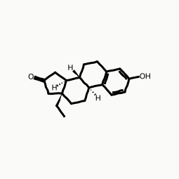 CC[C@]12CC[C@@H]3c4ccc(O)cc4CC[C@H]3[C@@H]1CC(=O)C2